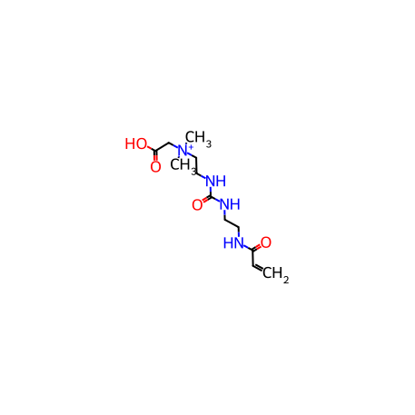 C=CC(=O)NCCNC(=O)NCC[N+](C)(C)CC(=O)O